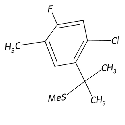 CSC(C)(C)c1cc(C)c(F)cc1Cl